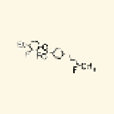 CCc1ccc(OC(=O)c2ccc(CC/C=C(/C)F)cc2)c(F)c1F